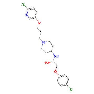 OC(COc1ccc(Cl)cc1)NC1CCN(CCCOc2ccc(Cl)nc2)CC1